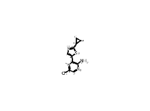 Nc1ncc(Cl)nc1-c1cnc(C2CC2)s1